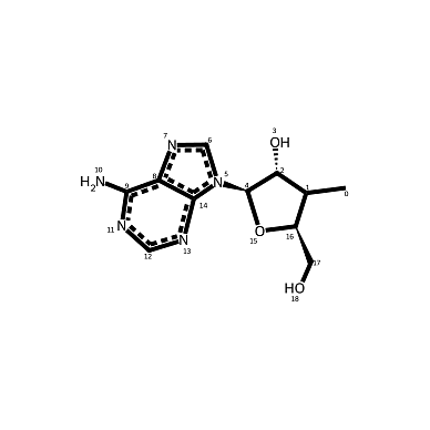 CC1[C@@H](O)[C@H](n2cnc3c(N)ncnc32)O[C@@H]1CO